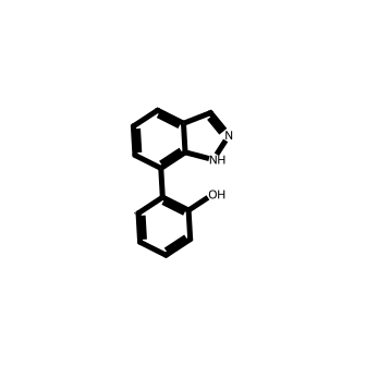 Oc1ccc[c]c1-c1cccc2cn[nH]c12